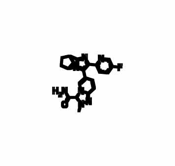 CN1N=C2C=CC(c3c(-c4ccc(F)cn4)nc4n3C3CCC4C3)=CN2C1C(N)=O